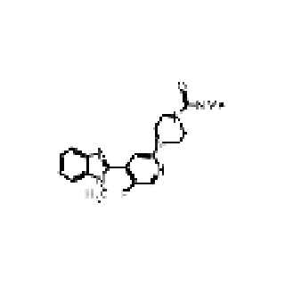 CNC(=O)N1CCN(c2cc(-c3nc4ccccc4n3C)c(F)cn2)CC1